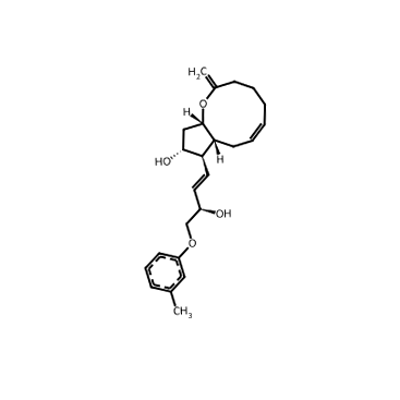 C=C1CCC/C=C\C[C@@H]2[C@@H](/C=C/[C@@H](O)COc3cccc(C)c3)[C@H](O)C[C@@H]2O1